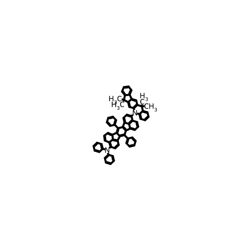 CC1(C)c2ccccc2-c2cc3c(cc21)N(c1ccc2c4c(-c5ccccc5)c5c6cccc7c(N(c8ccccc8)c8ccccc8)ccc(c5c(-c5ccccc5)c4c4cccc1c42)c76)c1ccccc1C3(C)C